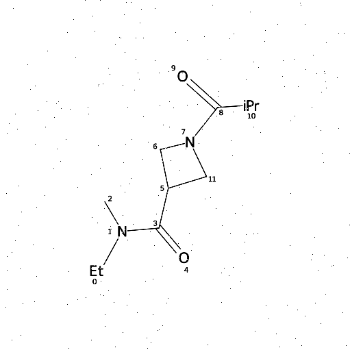 CCN(C)C(=O)C1CN(C(=O)C(C)C)C1